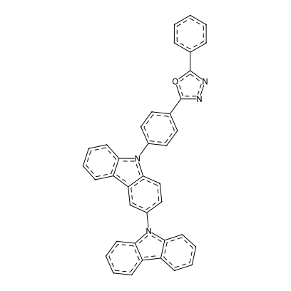 c1ccc(-c2nnc(-c3ccc(-n4c5ccccc5c5cc(-n6c7ccccc7c7ccccc76)ccc54)cc3)o2)cc1